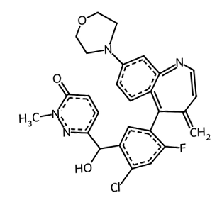 C=C1C=CN=c2cc(N3CCOCC3)ccc2=C1c1cc(C(O)c2ccc(=O)n(C)n2)c(Cl)cc1F